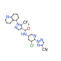 N#Cc1cnn(-c2ncc(NC(=O)c3cnn(-c4cccc5ncccc45)c3C(F)(F)F)cc2Cl)n1